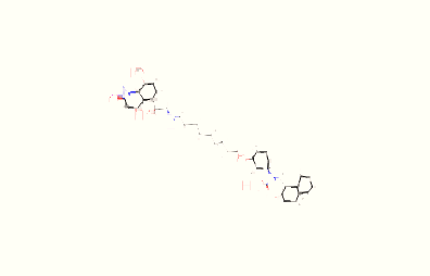 O=C(O)N(Cc1cccc2ccccc12)c1cccc(OCCCCCCCCCNC[C@H](O)c2ccc(O)c3[nH]c(=O)ccc23)c1